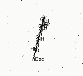 CCCCCCCCCCCCCCCCCC(=O)NCCOCCOCCNC(=O)CCOCCOCCNC(=O)[C@H](CCCNC(=O)CBr)NC(=O)CBr